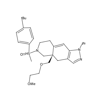 COCCOC[C@]12Cc3cnn(C(C)C)c3C=C1CCN([SH](C)(=O)c1ccc(C(C)(C)C)cc1)C2